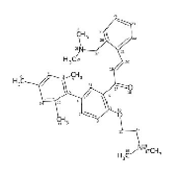 Cc1cc(C)c(-c2ccc(OCCN(C)C)c(C(=O)C=Cc3ccccc3CN(C)C)c2)c(C)c1